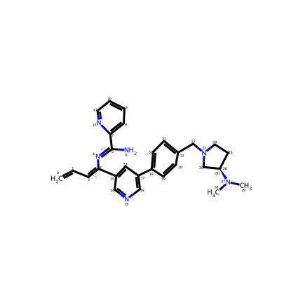 C=C/C=C(\N=C(/N)c1ccccn1)c1cncc(-c2ccc(CN3CC[C@@H](N(C)C)C3)cc2)c1